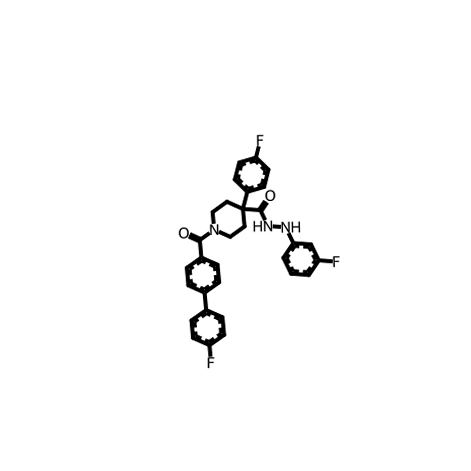 O=C(c1ccc(-c2ccc(F)cc2)cc1)N1CCC(C(=O)NNc2cccc(F)c2)(c2ccc(F)cc2)CC1